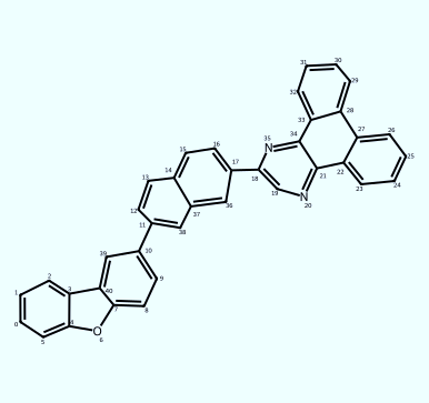 c1ccc2c(c1)oc1ccc(-c3ccc4ccc(-c5cnc6c7ccccc7c7ccccc7c6n5)cc4c3)cc12